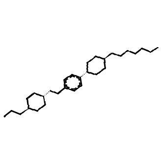 CCCCCCC[C@H]1CC[C@H](c2ccc(CC[C@H]3CC[C@H](CCC)CC3)cc2)CC1